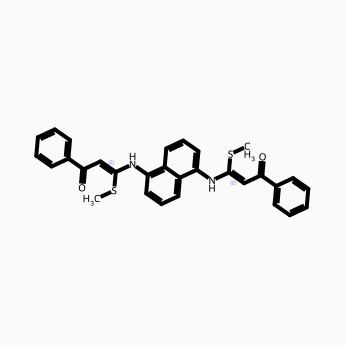 CS/C(=C\C(=O)c1ccccc1)Nc1cccc2c(N/C(=C/C(=O)c3ccccc3)SC)cccc12